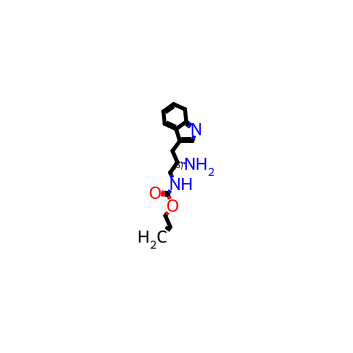 C=CCOC(=O)NC[C@@H](N)CC1=CN=C2CC=CC=C12